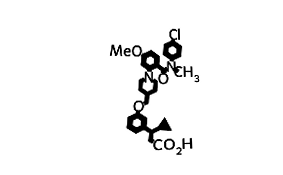 COc1ccc(C(=O)N(C)c2ccc(Cl)cc2)c(N2CCC(COc3cccc(C(CC(=O)O)C4CC4)c3)CC2)c1